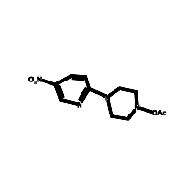 CC(=O)ON1CCN(c2ccc([N+](=O)[O-])cn2)CC1